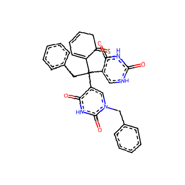 O=c1[nH]cc(C(Cc2ccccc2)(C2=CC=CCC2=S)c2cn(Cc3ccccc3)c(=O)[nH]c2=O)c(=O)[nH]1